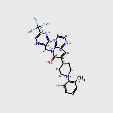 Cc1cccc(F)c1N1CCC(c2cc3nccnc3n(Cc3cnc(C(F)(F)F)cn3)c2=O)CC1